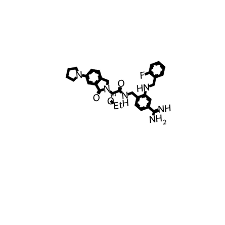 CCO[C@@H](C(=O)NCc1ccc(C(=N)N)cc1NCc1ccccc1F)N1Cc2ccc(N3CCCC3)cc2C1=O